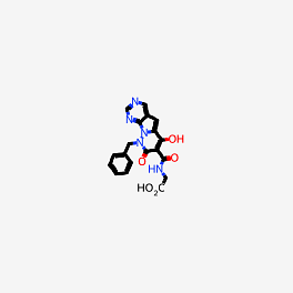 O=C(O)CNC(=O)c1c(O)c2cc3cncnc3n2n(Cc2ccccc2)c1=O